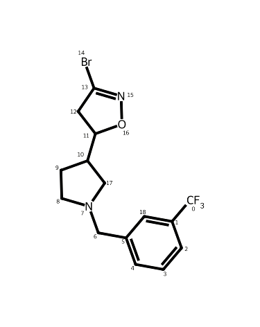 FC(F)(F)c1cccc(CN2CCC(C3CC(Br)=NO3)C2)c1